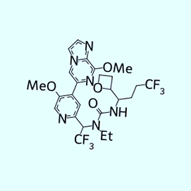 CCN(C(=O)NC(CCC(F)(F)F)C1CCO1)C(c1cc(-c2cn3ccnc3c(OC)n2)c(OC)cn1)C(F)(F)F